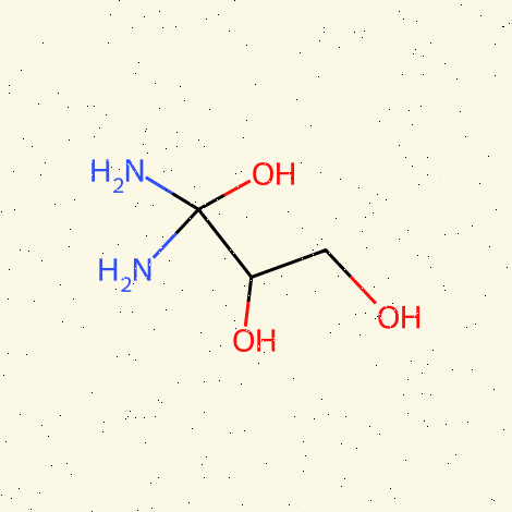 NC(N)(O)C(O)CO